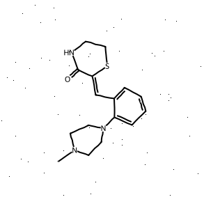 CN1CCN(c2ccccc2C=C2SCCNC2=O)CC1